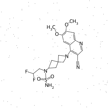 COc1cc2ncc(C#N)c(N3CC4(CC(N(CC(F)F)S(N)(=O)=O)C4)C3)c2cc1OC